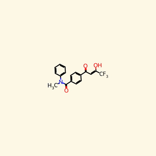 CN(C(=O)c1ccc(C(=O)/C=C(\O)C(F)(F)F)cc1)c1ccccc1